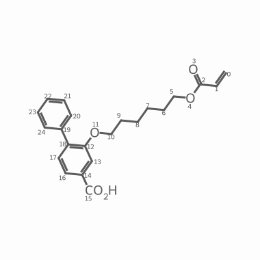 C=CC(=O)OCCCCCCOc1cc(C(=O)O)ccc1-c1ccccc1